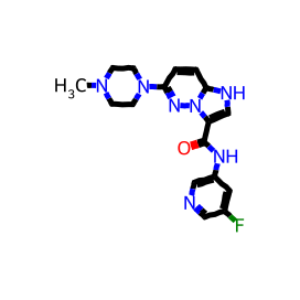 CN1CCN(C2=NN3C(C(=O)Nc4cncc(F)c4)=CNC3C=C2)CC1